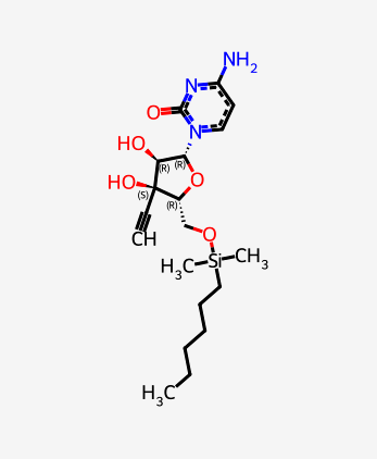 C#C[C@@]1(O)[C@@H](CO[Si](C)(C)CCCCCC)O[C@@H](n2ccc(N)nc2=O)[C@@H]1O